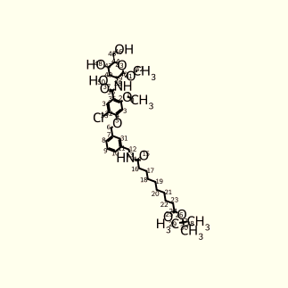 COc1cc(OCc2cccc(CNC(=O)CCCCCCCCC(=O)OC(C)(C)C)c2)c(Cl)cc1C(=O)N[C@H]1[C@@H](OC)O[C@H](CO)[C@@H](O)[C@@H]1O